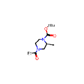 CCC(=O)N1CCN(C(=O)OC(C)(C)C)[C@@H](C)C1